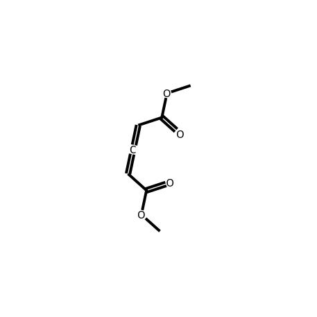 COC(=O)C=C=CC(=O)OC